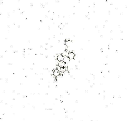 CNCCOc1ccccc1-c1cccc(CC2NC(C)CC23COCC(=O)N3)c1F